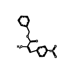 CC(=Cc1ccc([SH](=O)=O)cc1)C(=O)OCc1ccccc1